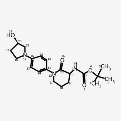 CC(C)(C)OC(=O)NC1CCCN(c2ccc(N3CC[C@@H](O)C3)cc2)C1=O